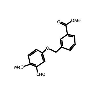 COC(=O)c1cccc(COc2ccc(OC)c(C=O)c2)c1